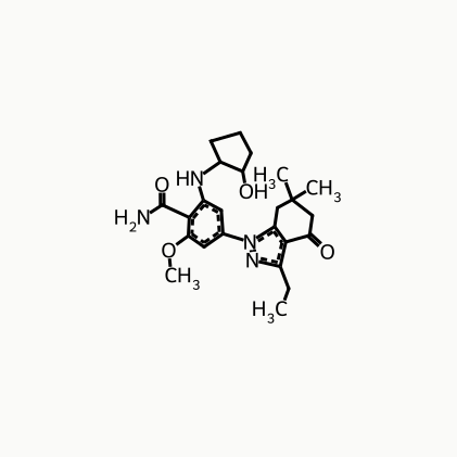 CCc1nn(-c2cc(NC3CCCC3O)c(C(N)=O)c(OC)c2)c2c1C(=O)CC(C)(C)C2